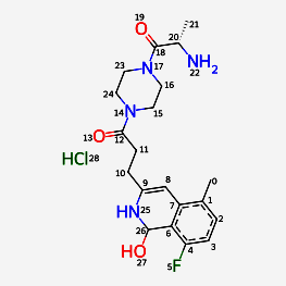 Cc1ccc(F)c2c1C=C(CCC(=O)N1CCN(C(=O)[C@H](C)N)CC1)NC2O.Cl